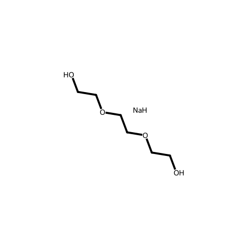 OCCOCCOCCO.[NaH]